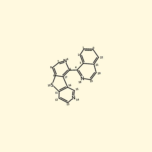 c1ccc2c(-c3nccc4sc5ccncc5c34)nccc2c1